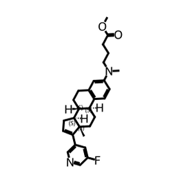 COC(=O)CCCN(C)c1ccc2c(c1)CC[C@@H]1[C@@H]2CC[C@]2(C)C(c3cncc(F)c3)=CC[C@@H]12